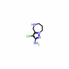 Nc1nn2c(c1Cl)CNCCC2